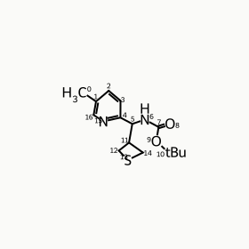 Cc1ccc(C(NC(=O)OC(C)(C)C)C2CSC2)nc1